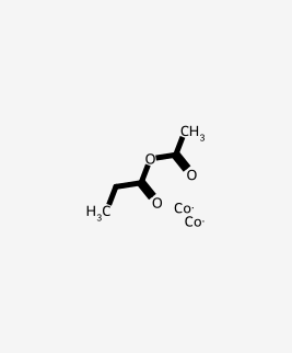 CCC(=O)OC(C)=O.[Co].[Co]